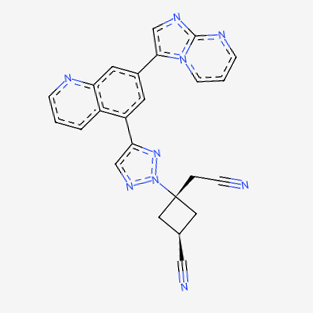 N#CC[C@]1(n2ncc(-c3cc(-c4cnc5ncccn45)cc4ncccc34)n2)C[C@H](C#N)C1